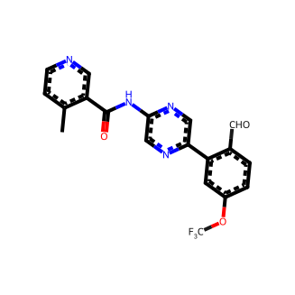 Cc1ccncc1C(=O)Nc1cnc(-c2cc(OC(F)(F)F)ccc2C=O)cn1